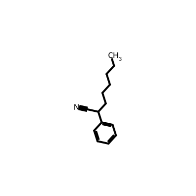 CCCCCCC(C#N)c1ccccc1